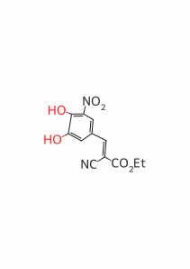 CCOC(=O)/C(C#N)=C/c1cc(O)c(O)c([N+](=O)[O-])c1